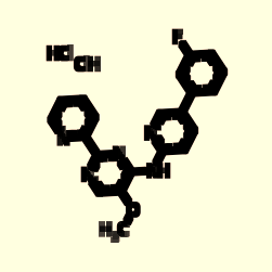 COc1cnc(-c2ccccn2)nc1Nc1ccc(-c2cccc(F)c2)cn1.Cl.Cl